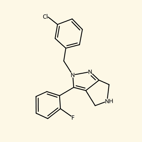 Fc1ccccc1-c1c2c(nn1Cc1cccc(Cl)c1)CNC2